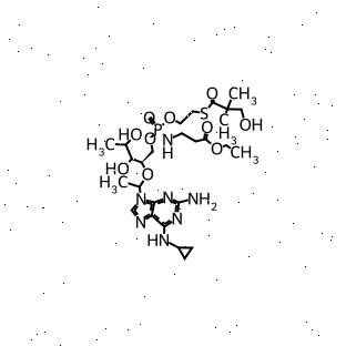 CCOC(=O)CCNP(=O)(OCCSC(=O)C(C)(C)CO)OC[C@@H](OC(C)n1cnc2c(NC3CC3)nc(N)nc21)C(O)C(C)O